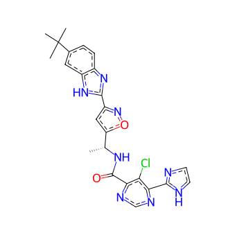 C[C@@H](NC(=O)c1ncnc(-c2ncc[nH]2)c1Cl)c1cc(-c2nc3ccc(C(C)(C)C)cc3[nH]2)no1